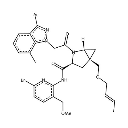 C/C=C/COC[C@@]12C[C@@H](C(=O)Nc3nc(Br)ccc3COC)N(C(=O)Cn3nc(C(C)=O)c4cccc(C)c43)[C@@H]1C2